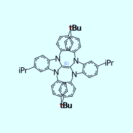 CC(C)c1ccc2c(c1)N(c1ccc(C(C)(C)C)cc1)/C(=C1\N(c3ccc(C(C)(C)C)cc3)c3ccc(C(C)C)cc3N1c1ccc(C(C)(C)C)cc1)N2c1ccc(C(C)(C)C)cc1